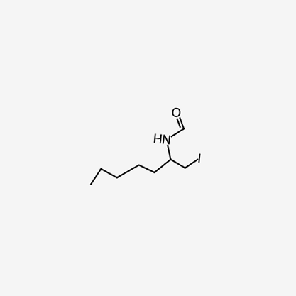 CCCCCC(CI)NC=O